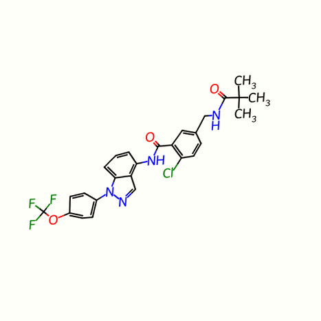 CC(C)(C)C(=O)NCc1ccc(Cl)c(C(=O)Nc2cccc3c2cnn3-c2ccc(OC(F)(F)F)cc2)c1